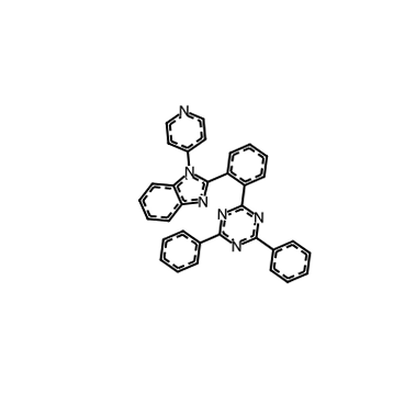 c1ccc(-c2nc(-c3ccccc3)nc(-c3ccccc3-c3nc4ccccc4n3-c3ccncc3)n2)cc1